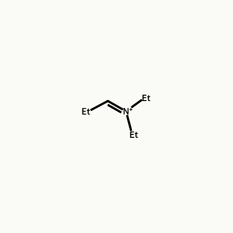 CCC=[N+](CC)CC